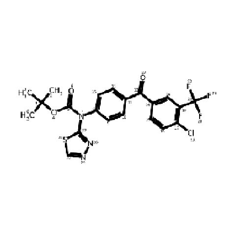 CC(C)(C)OC(=O)N(c1ccc(C(=O)c2ccc(Cl)c(C(F)(F)F)c2)cc1)c1nncs1